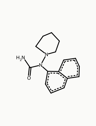 NC(=O)N(c1cccc2ccccc12)N1CCCCC1